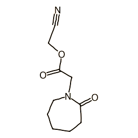 N#CCOC(=O)CN1CCCCCC1=O